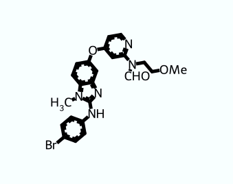 COCCN(C=O)c1cc(Oc2ccc3c(c2)nc(Nc2ccc(Br)cc2)n3C)ccn1